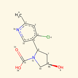 Cc1cc(Cl)c(C2C[C@@H](O)CN2C(=O)O)cn1